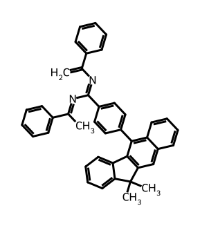 C=C(/N=C(\N=C(/C)c1ccccc1)c1ccc(-c2c3c(cc4ccccc24)C(C)(C)c2ccccc2-3)cc1)c1ccccc1